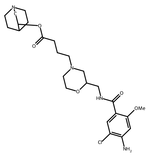 COc1cc(N)c(Cl)cc1C(=O)NCC1CN(CCCC(=O)OC2CN3CCC2CC3)CCO1